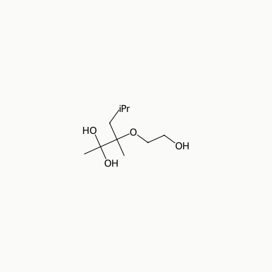 CC(C)CC(C)(OCCO)C(C)(O)O